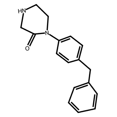 O=C1CNCCN1c1ccc(Cc2ccccc2)cc1